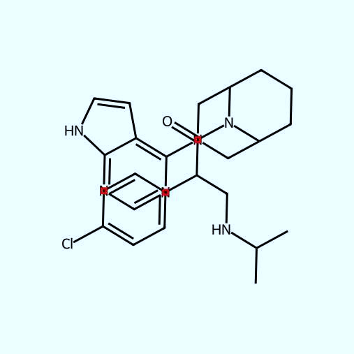 CC(C)NCC(C(=O)N1C2CCCC1CN(c1ncnc3[nH]ccc13)C2)c1ccc(Cl)cc1